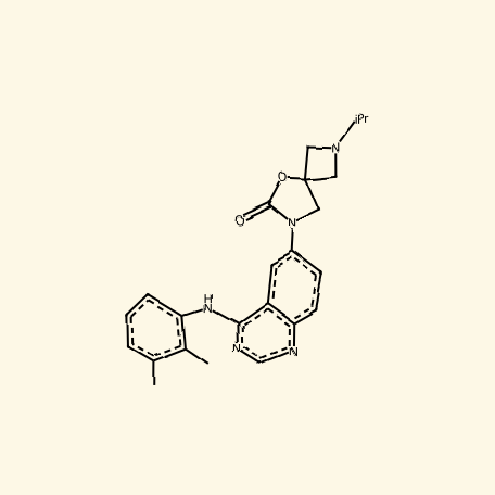 Cc1cccc(Nc2ncnc3ccc(N4CC5(CN(C(C)C)C5)OC4=O)cc23)c1C